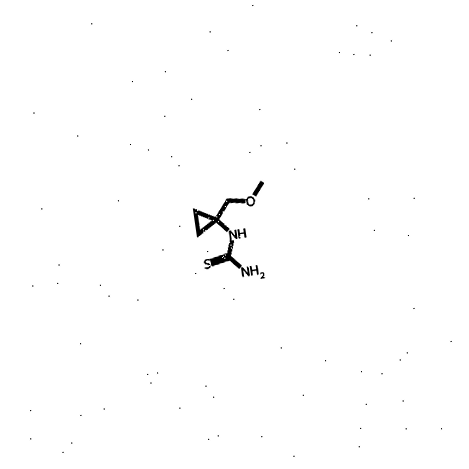 COCC1(NC(N)=S)CC1